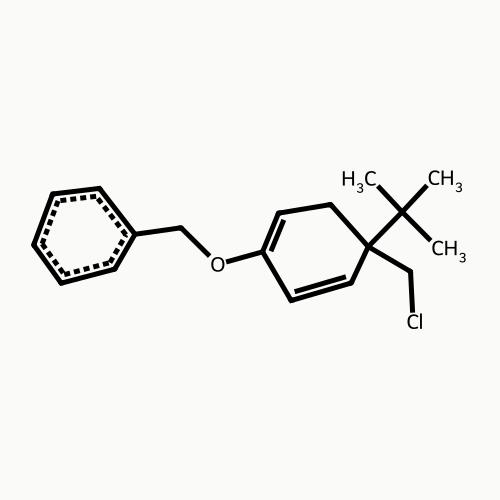 CC(C)(C)C1(CCl)C=CC(OCc2ccccc2)=CC1